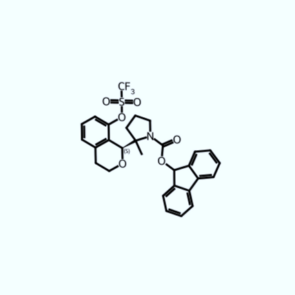 CC1([C@H]2OCCc3cccc(OS(=O)(=O)C(F)(F)F)c32)CCCN1C(=O)OC1c2ccccc2-c2ccccc21